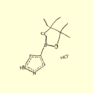 CC1(C)OB(c2cn[nH]c2)OC1(C)C.Cl